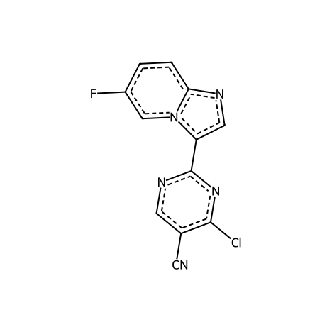 N#Cc1cnc(-c2cnc3ccc(F)cn23)nc1Cl